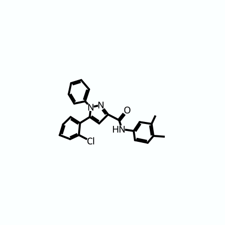 Cc1ccc(NC(=O)c2cc(-c3ccccc3Cl)n(-c3ccccc3)n2)cc1C